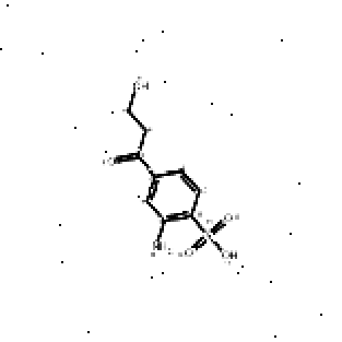 Nc1cc(C(=O)CCO)[c]cc1S(=O)(=O)O